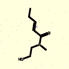 CC/C=C/C(=O)N(C)CCO